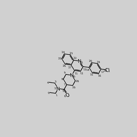 CCN(CC)C(=O)C1CCN(c2cc(-c3ccc(Cl)cc3)nc3ccccc23)CC1